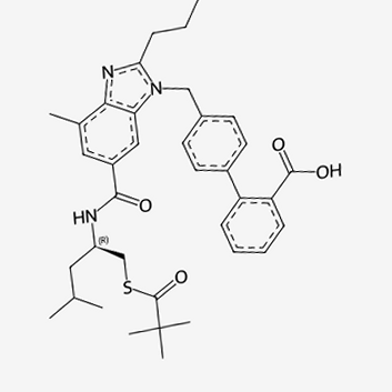 CCCc1nc2c(C)cc(C(=O)N[C@@H](CSC(=O)C(C)(C)C)CC(C)C)cc2n1Cc1ccc(-c2ccccc2C(=O)O)cc1